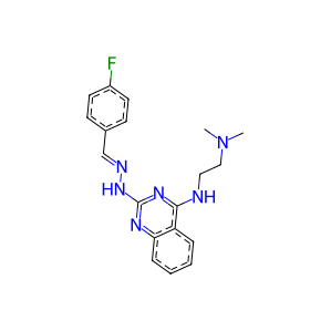 CN(C)CCNc1nc(NN=Cc2ccc(F)cc2)nc2ccccc12